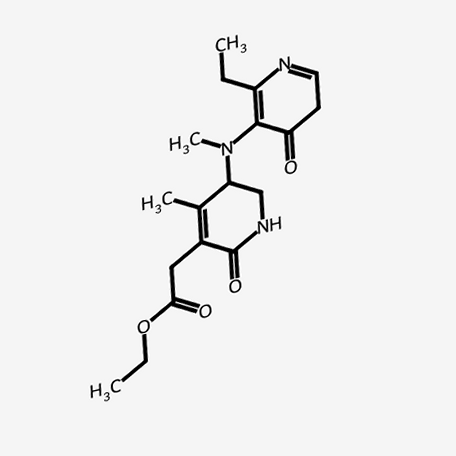 CCOC(=O)CC1=C(C)C(N(C)C2=C(CC)N=CCC2=O)CNC1=O